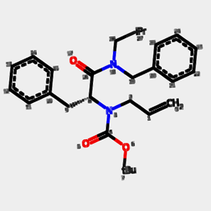 C=CCN(C(=O)OC(C)(C)C)[C@H](Cc1ccccc1)C(=O)N(Cc1ccccc1)CC(C)C